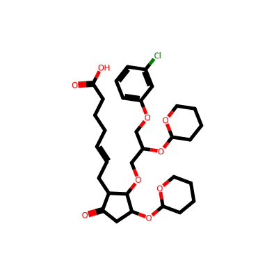 O=C(O)CCC/C=C/CC1C(=O)CC(OC2CCCCO2)C1OCC(COc1cccc(Cl)c1)OC1CCCCO1